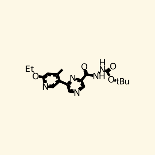 CCOc1cc(C)c(-c2cncc(C(=O)NNC(=O)OC(C)(C)C)n2)cn1